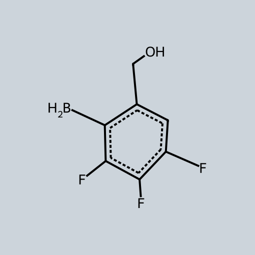 Bc1c(CO)cc(F)c(F)c1F